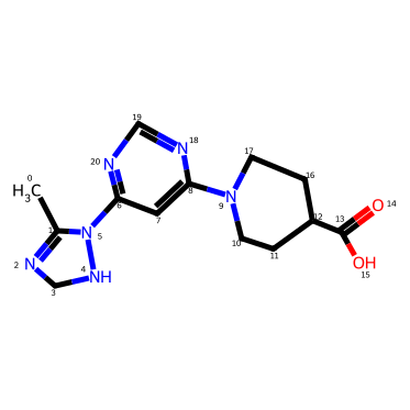 CC1=NCNN1c1cc(N2CCC(C(=O)O)CC2)ncn1